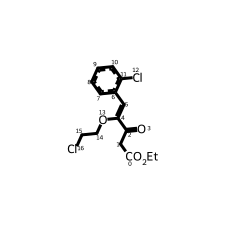 CCOC(=O)CC(=O)C(=Cc1ccccc1Cl)OCCCl